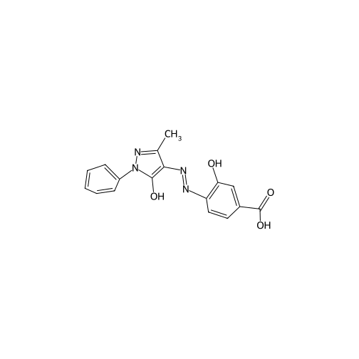 Cc1nn(-c2ccccc2)c(O)c1N=Nc1ccc(C(=O)O)cc1O